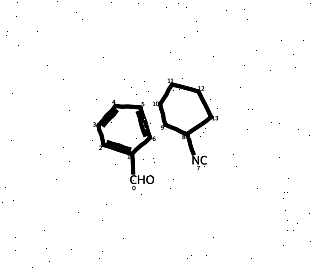 O=Cc1ccccc1.[C-]#[N+]C1CCCCC1